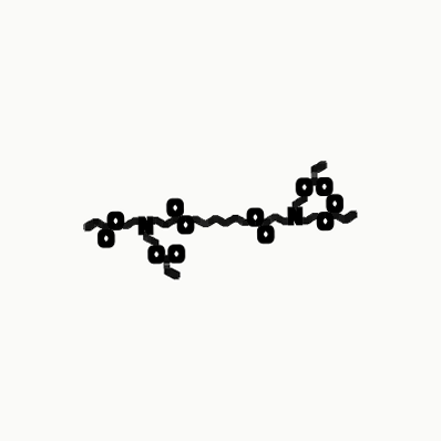 C=CC(=O)OCCN(CCOC(=O)C=C)CCC(=O)OCCCCCCOC(=O)CCN(CCOC(=O)C=C)CCOC(=O)C=C